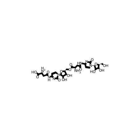 N[C@@H](CC(=O)Nc1ccn([C@@H]2O[C@H](COC(=O)[C@@H](N)CC(=O)Nc3ccn([C@@H]4O[C@H](CO)C(O)C4O)c(=O)n3)C(O)C2O)c(=O)n1)C(=O)O